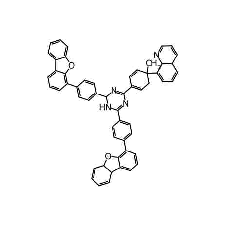 CC1(C2=CC=CC3C=CC=NC23)C=CC(C2=NC(c3ccc(-c4cccc5c4oc4ccccc45)cc3)NC(c3ccc(-c4cccc5c4OC4C=CC=CC54)cc3)=N2)=CC1